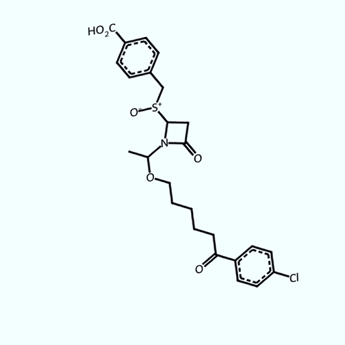 CC(OCCCCCC(=O)c1ccc(Cl)cc1)N1C(=O)CC1[S+]([O-])Cc1ccc(C(=O)O)cc1